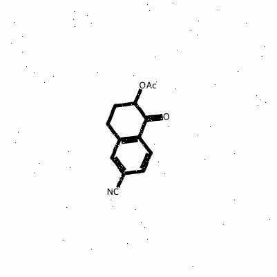 CC(=O)OC1CCc2cc(C#N)ccc2C1=O